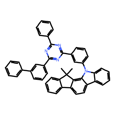 CC1(C)c2ccccc2-c2ccc3c4ccccc4n(-c4cccc(-c5nc(-c6ccccc6)nc(-c6cccc(-c7ccccc7)c6)n5)c4)c3c21